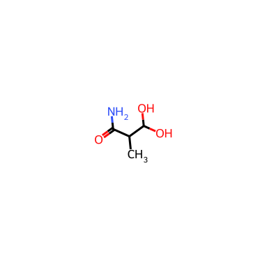 CC(C(N)=O)C(O)O